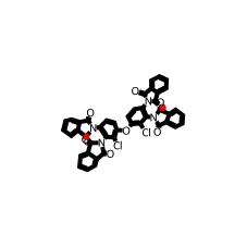 O=C1c2ccccc2C(=O)N1c1ccc(Oc2ccc(N3C(=O)c4ccccc4C3=O)c(N3C(=O)c4ccccc4C3=O)c2Cl)c(Cl)c1N1C(=O)c2ccccc2C1=O